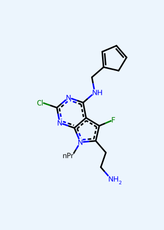 CCCn1c(CCN)c(F)c2c(NCC3=CC=CC3)nc(Cl)nc21